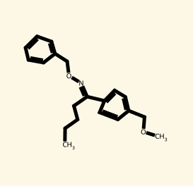 CCCC/C(=N\OCc1ccccc1)c1ccc(COC)cc1